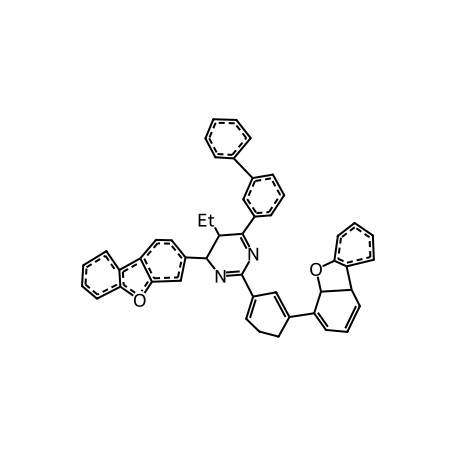 CCC1C(c2cccc(-c3ccccc3)c2)=NC(C2=CCCC(C3=CC=CC4c5ccccc5OC34)=C2)=NC1c1ccc2c(c1)oc1ccccc12